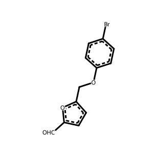 O=Cc1ccc(COc2ccc(Br)cc2)o1